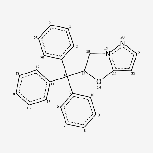 c1ccc(C(c2ccccc2)(c2ccccc2)C2Cn3nccc3O2)cc1